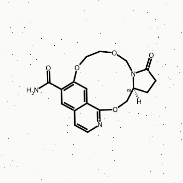 NC(=O)c1cc2ccnc3c2cc1OCCOCN1C(=O)CC[C@H]1CO3